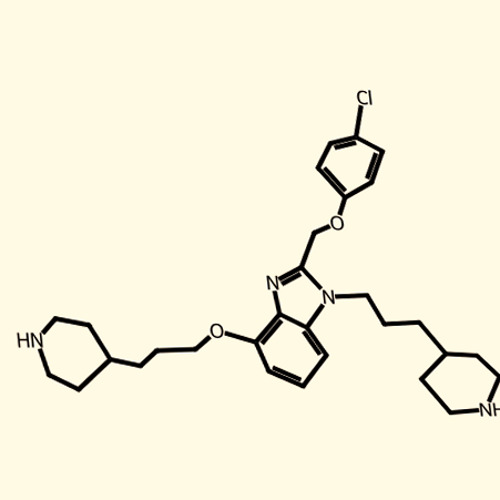 Clc1ccc(OCc2nc3c(OCCCC4CCNCC4)cccc3n2CCCC2CCNCC2)cc1